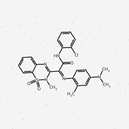 Cc1cc(N(C)C)ccc1/N=C(\C(=O)Nc1ccccc1Cl)C1=Nc2ccccc2S(=O)(=O)N1C